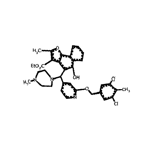 CCOC(=O)c1c(C)oc2c1c(C(c1ccnc(OCc3cc(Cl)c(C)c(Cl)c3)c1)N1CCN(C)CC1)c(O)c1ccccc12